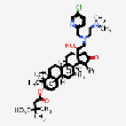 CC(C)C1=C2[C@@]([C@@H](O)CN(CCN(C)C)Cc3ccc(Cl)cn3)(CC[C@]3(C)[C@]2(C)CC[C@@H]2[C@@]4(C)CC[C@H](OC(=O)CC(C)(C)C(=O)O)C(C)(C)[C@@H]4CC[C@]23C)CC1=O